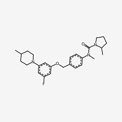 CC1CCN(c2cc(F)cc(OCc3ccc(N(C)C(=O)N4CCCC4C)cc3)c2)CC1